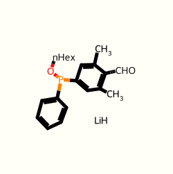 CCCCCCOP(c1ccccc1)c1cc(C)c(C=O)c(C)c1.[LiH]